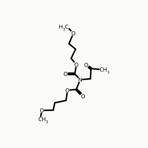 COCCCOC(=O)N(CC(C)=O)C(=O)OCCCOC